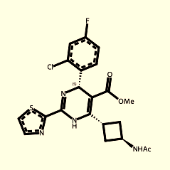 COC(=O)C1=C([C@H]2C[C@H](NC(C)=O)C2)NC(c2nccs2)=N[C@@H]1c1ccc(F)cc1Cl